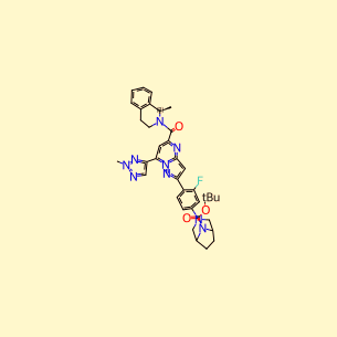 C[C@@H]1c2ccccc2CCN1C(=O)c1cc(-c2cnn(C)n2)n2nc(-c3ccc(N4CC5CCC(C4)N5C(=O)OC(C)(C)C)cc3F)cc2n1